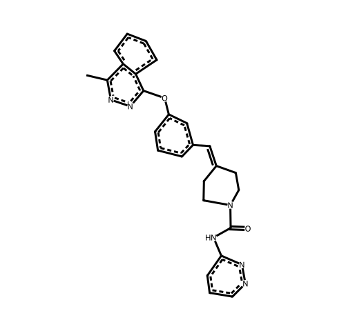 Cc1nnc(Oc2cccc(C=C3CCN(C(=O)Nc4cccnn4)CC3)c2)c2ccccc12